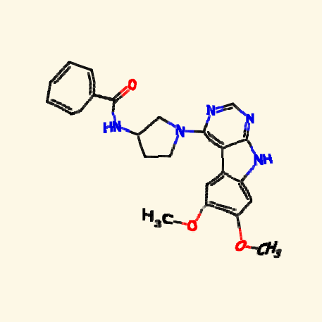 COc1cc2[nH]c3ncnc(N4CCC(NC(=O)c5ccccc5)C4)c3c2cc1OC